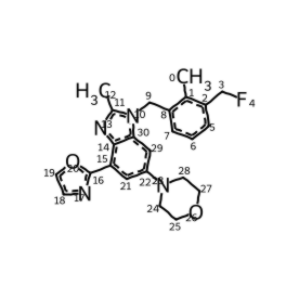 Cc1c(CF)cccc1Cn1c(C)nc2c(-c3ncco3)cc(N3CCOCC3)cc21